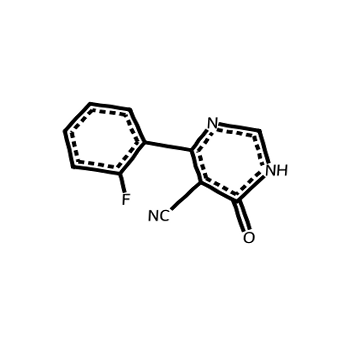 N#Cc1c(-c2ccccc2F)nc[nH]c1=O